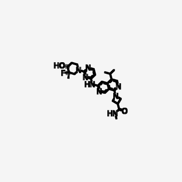 CNC(=O)C1CN(c2ncc(C(C)C)c3cc(Nc4ccnc(N5CC[C@@H](O)[C@@](C)(F)C5)n4)ncc23)C1